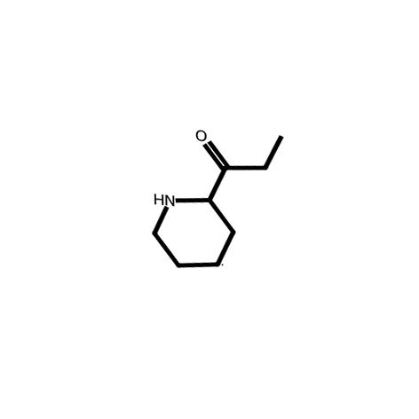 CCC(=O)C1C[CH]CCN1